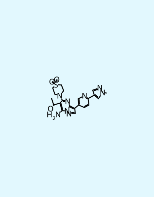 CC(=O)c1c(N2CCS(=O)(=O)CC2)nc2c(-c3ccc(-c4cnn(C)c4)nc3)cnn2c1N